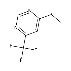 C[CH]c1cc(C(F)(F)F)ncn1